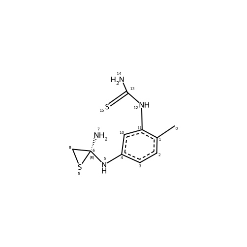 Cc1ccc(N[C@]2(N)CS2)cc1NC(N)=S